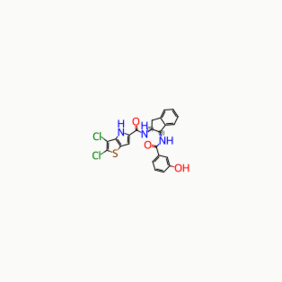 O=C(N[C@@H]1c2ccccc2C[C@@H]1NC(=O)c1cc2sc(Cl)c(Cl)c2[nH]1)c1cccc(O)c1